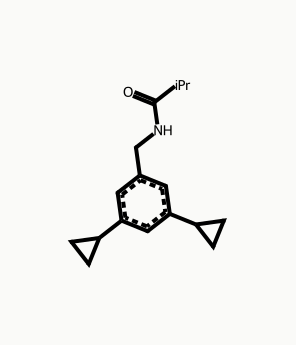 CC(C)C(=O)NCc1cc(C2CC2)cc(C2CC2)c1